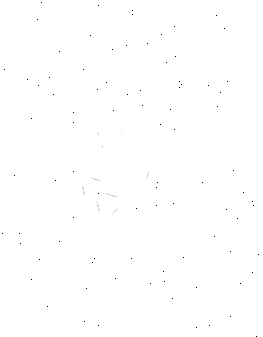 CCOC(=O)OC1CC[S+](c2cccc3ccccc23)C1.O=S(=O)([O-])C(F)(F)F